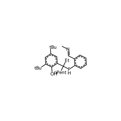 CCCCCC(CC)(Pc1ccccc1/C=N/C)c1cc(C(C)(C)C)cc(C(C)(C)C)c1O